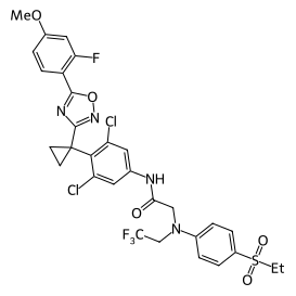 CCS(=O)(=O)c1ccc(N(CC(=O)Nc2cc(Cl)c(C3(c4noc(-c5ccc(OC)cc5F)n4)CC3)c(Cl)c2)CC(F)(F)F)cc1